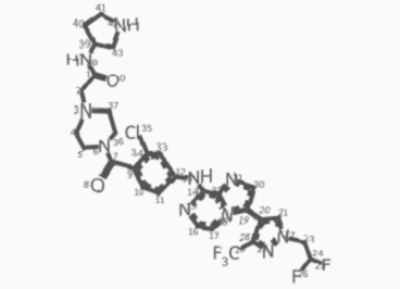 O=C(CN1CCN(C(=O)c2ccc(Nc3nccn4c(-c5cn(CC(F)F)nc5C(F)(F)F)cnc34)cc2Cl)CC1)NC1CCNC1